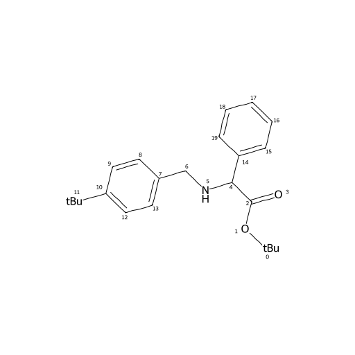 CC(C)(C)OC(=O)C(NCc1ccc(C(C)(C)C)cc1)c1ccccc1